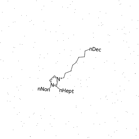 CCCCCCCCCCCCCCCCCC[n+]1ccn(CCCCCCCCC)c1CCCCCCC